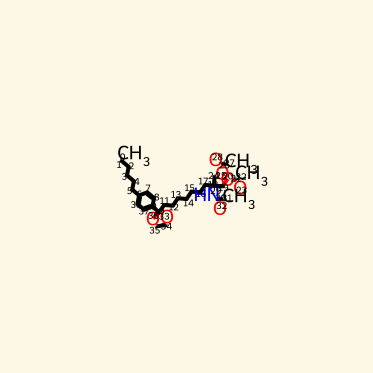 CCCCCCc1ccc(C2(CCCCCCCC(COC(C)=O)(COC(C)=O)NC(C)=O)OCCO2)cc1